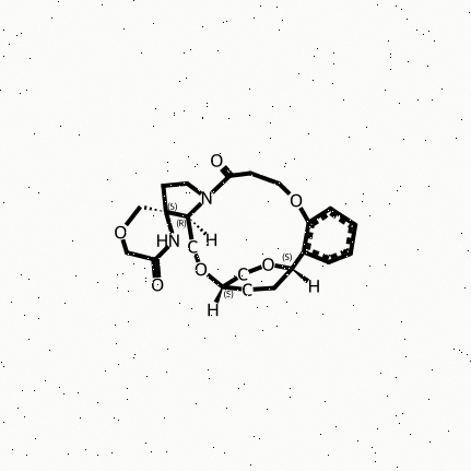 O=C1COC[C@@]2(CCN3C(=O)CCOc4ccccc4[C@@H]4CC[C@@H](CO4)OC[C@H]32)N1